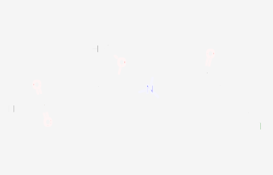 COC(CN1CCC(C(=O)c2ccc(F)cc2)CC1)c1ccc(S(C)(=O)=O)cc1